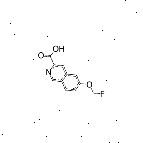 O=C(O)c1cc2cc(OCF)ccc2cn1